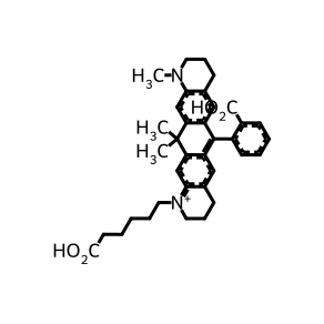 CN1CCCc2cc3c(cc21)C(C)(C)c1cc2c(cc1=C3c1ccccc1C(=O)O)CCC[N+]=2CCCCCC(=O)O